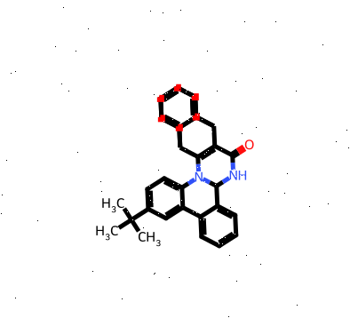 CC(C)(C)c1ccc2c(c1)-c1ccccc1C1NC(=O)C3=C(C4c5ccccc5C3c3ccccc34)N21